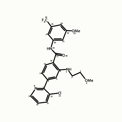 COCCNc1cc(-c2ncccc2Cl)ccc1C(=O)Nc1cc(OC)cc(C(F)(F)F)c1